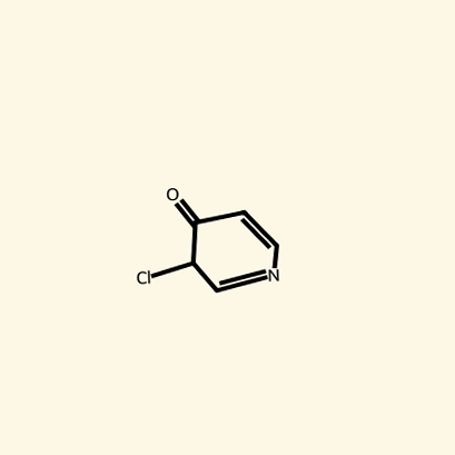 O=C1C=CN=CC1Cl